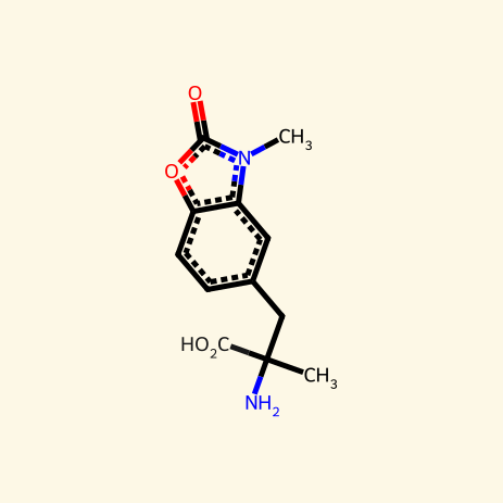 Cn1c(=O)oc2ccc(CC(C)(N)C(=O)O)cc21